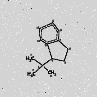 CC(C)(C)C1CCc2ccccc21